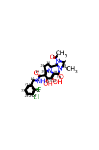 CC(=O)N1C[C@H](C)N2C(=O)C3=C(O)C(O)C(C(=O)NCc4cccc(Cl)c4F)=C4CCC(C12)N43